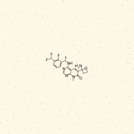 C[C@@H](Nc1ncnc2c1cc(C1(N)CCO1)c(=O)n2C)c1cccc(C(F)F)c1F